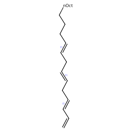 C=C/C=C/C/C=C/C/C=C/CCCCCCCCCCC